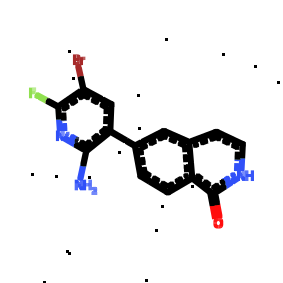 Nc1nc(F)c(Br)cc1-c1ccc2c(=O)[nH]ccc2c1